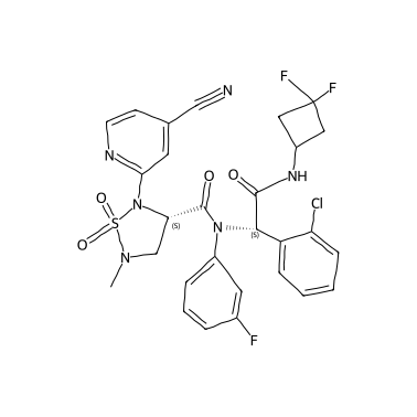 CN1C[C@@H](C(=O)N(c2cccc(F)c2)[C@H](C(=O)NC2CC(F)(F)C2)c2ccccc2Cl)N(c2cc(C#N)ccn2)S1(=O)=O